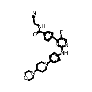 N#CCNC(=O)c1ccc(-c2nc(Nc3ccc(N4CCC(N5CCOCC5)CC4)cc3)ncc2F)cc1